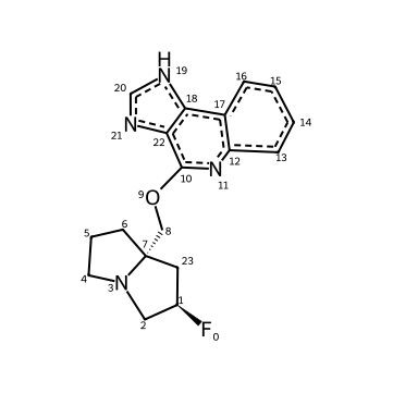 F[C@H]1CN2CCC[C@@]2(COc2nc3ccccc3c3[nH]cnc23)C1